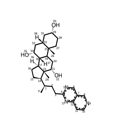 C[C@H](CCc1ncc2cnccc2n1)[C@H]1CC[C@H]2[C@H]3C(C[C@H](O)[C@]12C)[C@@]1(C)CC[C@@H](O)C[C@H]1C[C@H]3O